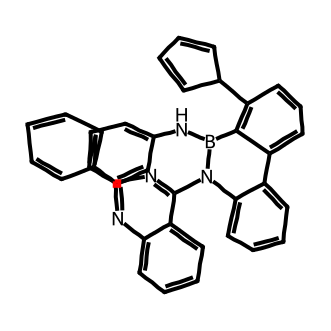 C1=CC(c2cccc3c2B(Nc2ccccc2)N(c2nc(-c4ccccc4)nc4ccccc24)c2ccccc2-3)C=C1